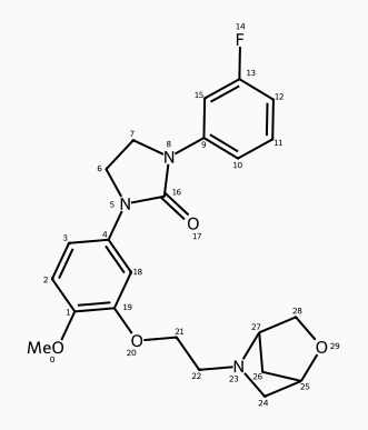 COc1ccc(N2CCN(c3cccc(F)c3)C2=O)cc1OCCN1CC2CC1CO2